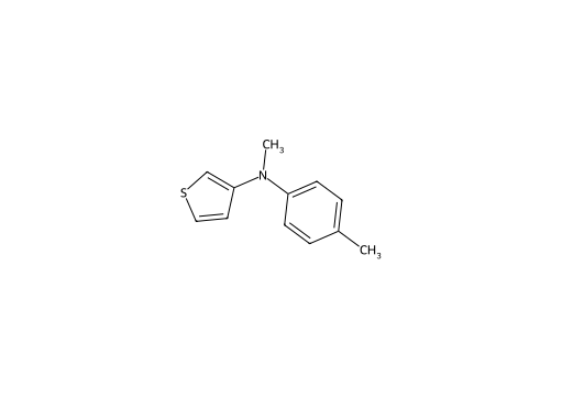 Cc1ccc(N(C)c2ccsc2)cc1